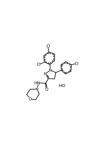 Cl.O=C(NN1CCOCC1)C1=NN(c2ccc(Cl)cc2Cl)C(c2ccc(Cl)cc2)C1